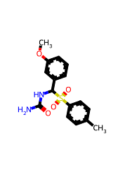 COc1cccc(C(NC(N)=O)S(=O)(=O)c2ccc(C)cc2)c1